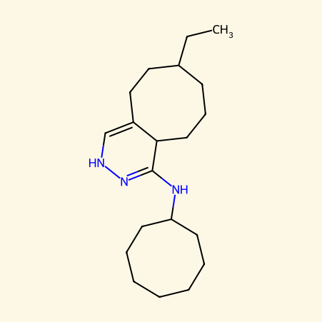 CCC1CCCC2C(=CNN=C2NC2CCCCCCC2)CC1